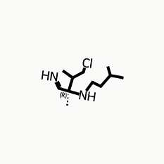 CC(C)CCN[C@@](C)(C=N)C(C)CCl